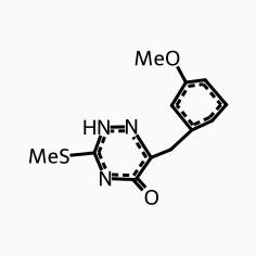 COc1cccc(Cc2n[nH]c(SC)nc2=O)c1